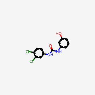 O=C(Nc1cccc(O)c1)Nc1ccc(Cl)c(Cl)c1